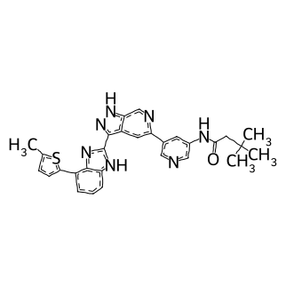 Cc1ccc(-c2cccc3[nH]c(-c4n[nH]c5cnc(-c6cncc(NC(=O)CC(C)(C)C)c6)cc45)nc23)s1